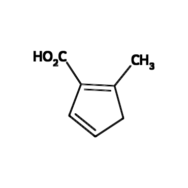 CC1=C(C(=O)O)C=CC1